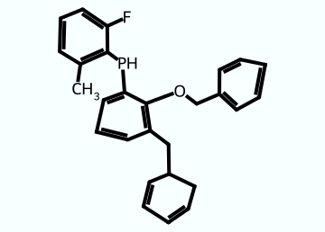 Cc1cccc(F)c1Pc1cccc(CC2C=CC=CC2)c1OCc1ccccc1